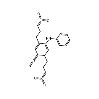 [N-]=[N+]=C1C=C(CCC=S(=O)=O)C(Nc2ccccc2)=CC1CCC=S(=O)=O